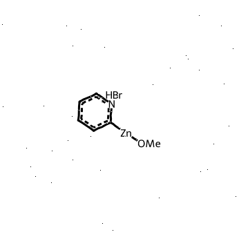 Br.C[O][Zn][c]1ccccn1